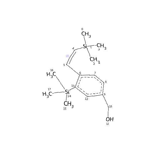 C[Si](C)(C)/C=C\c1ccc(CO)cc1[Si](C)(C)C